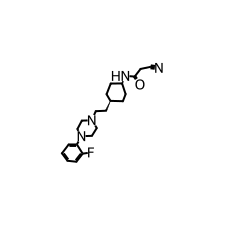 N#CCC(=O)N[C@H]1CC[C@@H](CCN2CCN(c3ccccc3F)CC2)CC1